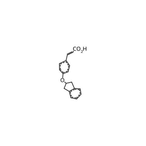 O=C(O)C=Cc1ccc(OC2Cc3ccccc3C2)cc1